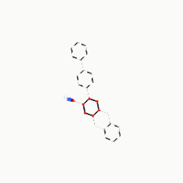 N#Cc1ccc2c(c1)C1c3ccccc3C2c2cc(-c3ccc(-c4ccccc4)cc3)c(C#N)cc21